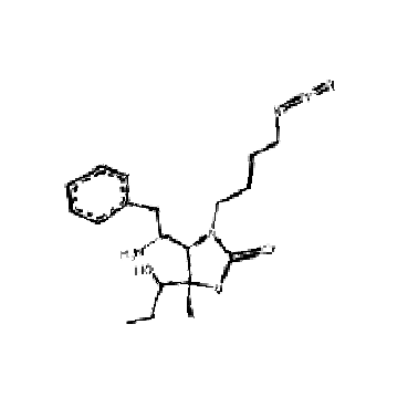 CCC(O)[C@@]1(C)OC(=O)N(CCCCN=[N+]=[N-])[C@@H]1[C@H](N)Cc1ccccc1